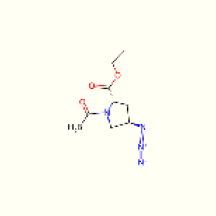 BC(=O)N1C[C@H](N=[N+]=[N-])C[C@H]1C(=O)OCC